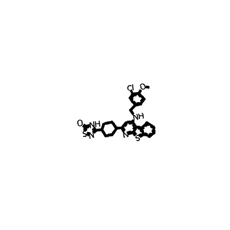 COc1ccc(CNc2cc(C3CCC(c4nsc(=O)[nH]4)CC3)nc3sc4ccccc4c23)cc1Cl